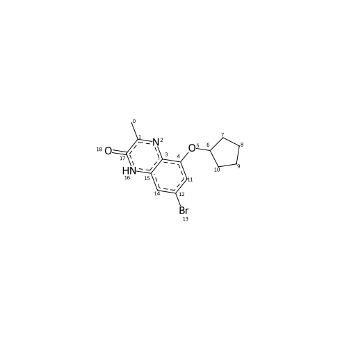 Cc1nc2c(OC3CCCC3)cc(Br)cc2[nH]c1=O